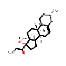 CC(=O)OCC(=O)[C@@]1(O)CC[C@H]2[C@@H]3CC=C4C[C@@H](OC(C)=O)CC[C@]4(C)[C@H]3CC[C@@]21C